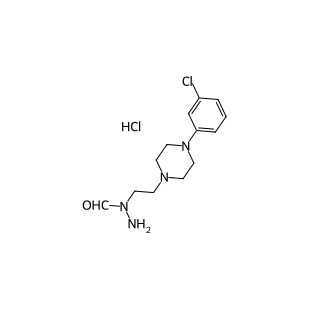 Cl.NN(C=O)CCN1CCN(c2cccc(Cl)c2)CC1